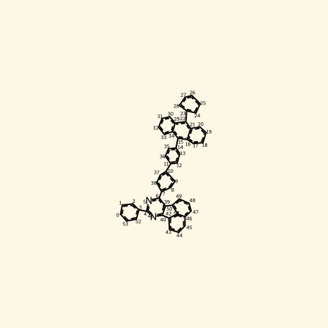 c1ccc(-c2nc(-c3ccc(-c4ccc(-c5c6ccccc6c(-c6ccccc6)c6ccccc56)cc4)cc3)c3c(n2)-c2cccc4cccc-3c24)cc1